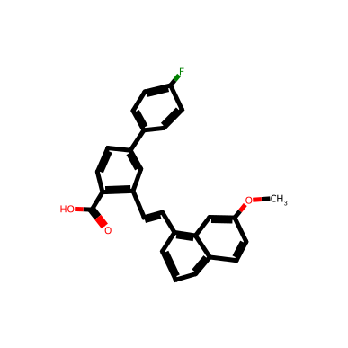 COc1ccc2cccc(C=Cc3cc(-c4ccc(F)cc4)ccc3C(=O)O)c2c1